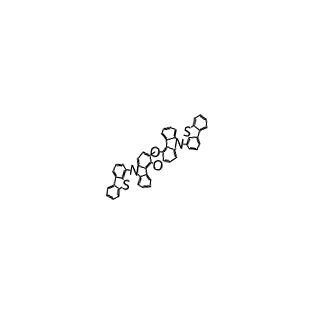 c1ccc2c(c1)sc1c(-n3c4ccccc4c4c5c(ccc43)Oc3c(ccc4c3c3ccccc3n4-c3cccc4c3sc3ccccc34)O5)cccc12